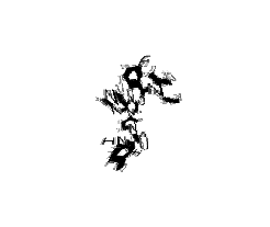 C=C1CC2C[C@H]1[C@@H](C(=O)N1CC[C@@H](N3CCN(c4ccc(F)cc4C(=O)N(CC)C(C)C)c4cncnc43)C1)N2